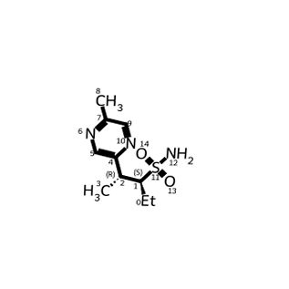 CC[C@@H]([C@H](C)c1cnc(C)cn1)S(N)(=O)=O